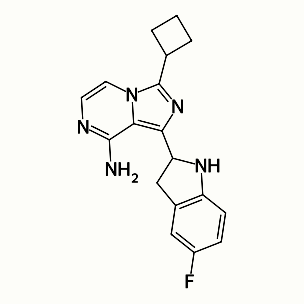 Nc1nccn2c(C3CCC3)nc(C3Cc4cc(F)ccc4N3)c12